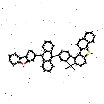 CC1(C)c2cc(-c3c4ccccc4c(-c4ccc5c(c4)oc4ccccc45)c4ccccc34)ccc2-c2c1ccc1sc3c4ccccc4ccc3c21